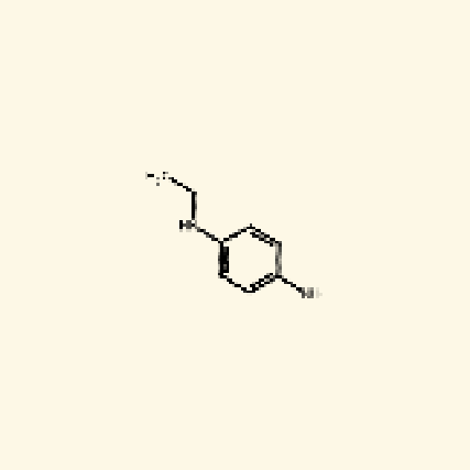 CCNc1ccc([NH])cc1